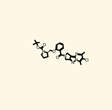 Cc1nc2c3c(nn2c(C)c1Cl)CN(C(=O)c1ccccc1OC[C@H]1CCCN1C(=O)OC(C)(C)C)C3